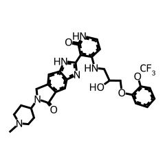 CN1CCC(N2Cc3cc4[nH]c(-c5c(NCC(O)COc6ccccc6OC(F)(F)F)cc[nH]c5=O)nc4cc3C2=O)CC1